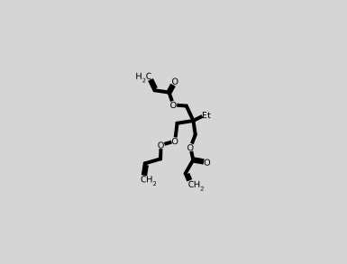 C=CCOOCC(CC)(COC(=O)C=C)COC(=O)C=C